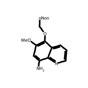 CCCCCCCCCCOc1c(OC)cc(N)c2ncccc12